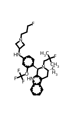 C[C@@H]1Cc2c([nH]c3ccccc23)[C@@H](c2ccc(NC3CN(CCCF)C3)cc2OC(F)(F)F)N1CC(C)(C)F